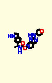 C[C@H](NC(=O)ON1CCc2cnc(NC3CCOCC3)nc2C1)c1ccc2cc[nH]c2c1